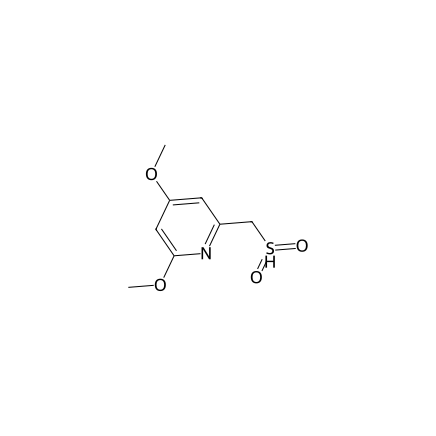 COc1cc(C[SH](=O)=O)nc(OC)c1